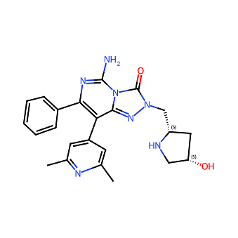 Cc1cc(-c2c(-c3ccccc3)nc(N)n3c(=O)n(C[C@@H]4C[C@H](O)CN4)nc23)cc(C)n1